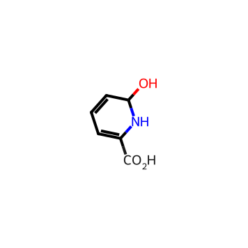 O=C(O)C1=CC=CC(O)N1